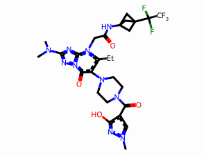 CCc1c(N2CCN(C(=O)c3cn(C)nc3O)CC2)c(=O)n2nc(N(C)C)nc2n1CC(=O)NC12CC(C(F)(F)C(F)(F)F)(C1)C2